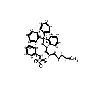 CCCCC/C=C\CC[P+](c1ccccc1)(c1ccccc1)c1ccccc1.O=S(=O)([O-])Cc1ccccc1